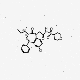 CC[C@H](C)[C@@H]1N=C(c2ccccc2)c2cc(Cl)ccc2N(CC(=O)NS(=O)(=O)C2CCOCC2)C1=O